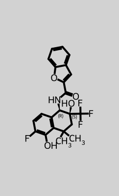 CC1(C)C[C@@](O)(C(F)(F)F)[C@H](NC(=O)c2cc3ccccc3o2)c2ccc(F)c(O)c21